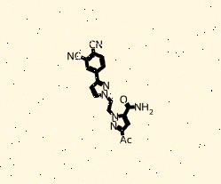 CC(=O)c1cc(C(N)=O)n(CCn2ccc(-c3ccc(C#N)c(C#N)c3)n2)n1